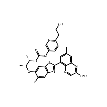 COc1cnc2c(-c3nc4cc(F)c(O[C@@H](C)[C@H](C)OC(=O)Nc5cnc(CCO)nc5)cc4s3)cc(C)cc2n1